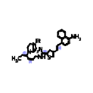 C/C=C(\C=C/CN/C(N)=C1/CC(/C=C/c2ccc(N)c3ccccc23)=CS1)N1CCN(CC)CC1